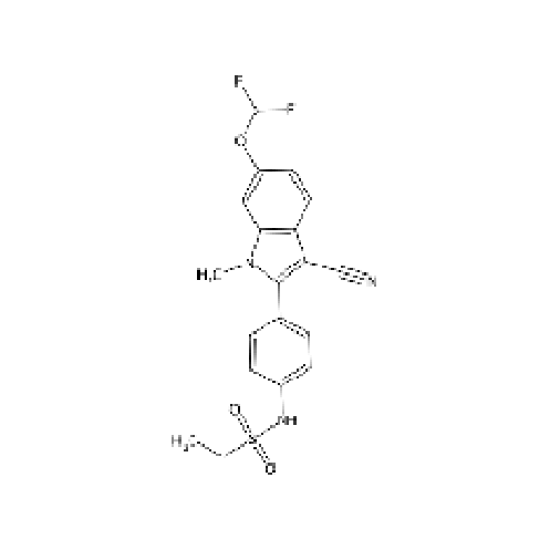 CCS(=O)(=O)Nc1ccc(-c2c(C#N)c3ccc(OC(F)F)cc3n2C)cc1